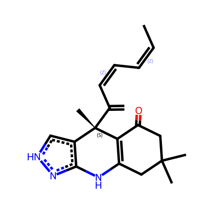 C=C(/C=C\C=C/C)[C@]1(C)C2=C(CC(C)(C)CC2=O)Nc2n[nH]cc21